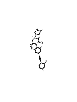 CN1C(=O)N(c2c(F)cc(C#Cc3ccc(F)cc3F)cc2F)C(=O)C[C@@]1(C)c1cnn(C)c1